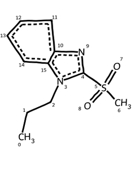 CCCn1c(S(C)(=O)=O)nc2ccccc21